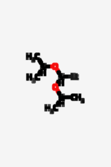 CC[SiH](O[SiH](C)C)O[SiH](C)C